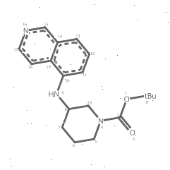 CC(C)(C)OC(=O)N1CCCC(Nc2cccc3cnccc23)C1